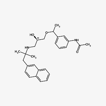 CC(=O)Nc1cccc(C(C)OC[C@H](O)CNC(C)(C)Cc2ccc3ccccc3c2)c1